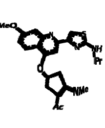 CNC1CC(Oc2cc(-c3csc(NC(C)C)n3)nc3cc(OC)ccc23)CC1C(C)=O